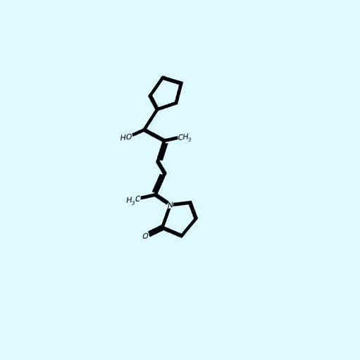 C/C(=C\C=C(/C)N1CCCC1=O)C(O)C1CCCC1